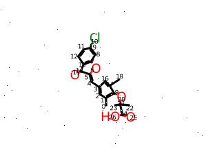 Cc1cc(/C=C2\Oc3cc(Cl)ccc3C2=O)cc(C)c1OC(C)(C)C(=O)O